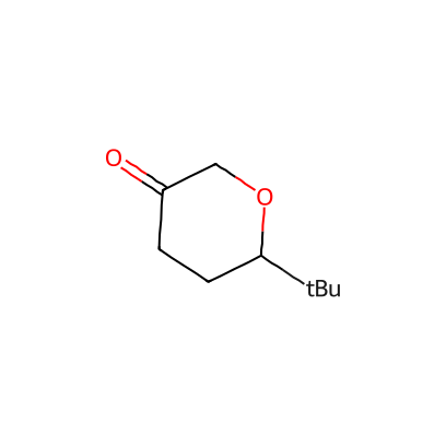 CC(C)(C)C1CCC(=O)CO1